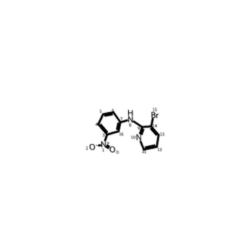 O=[N+]([O-])c1cccc(Nc2ncccc2Br)c1